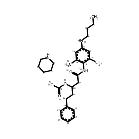 C1CCNCC1.CCCCNc1cc(C)c(NC(=O)CC(CCc2ccccc2)OC(=O)O)c(C)c1